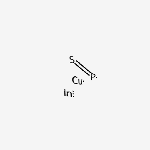 [Cu].[In].[P]=S